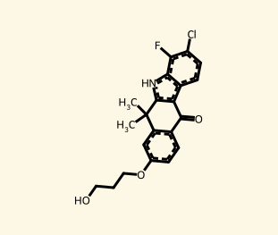 CC1(C)c2cc(OCCCO)ccc2C(=O)c2c1[nH]c1c(F)c(Cl)ccc21